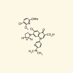 COc1ccc(Cl)c(OC[C@H]2C[C@H]3C[C@H]3N2c2cc3c(cc2Cl)c(=O)c(C(=O)O)cn3-c2ccc(N(C)C)nc2)n1